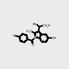 CCC(C)C(C(=O)O)c1c(C)n(C(=O)c2ccc(Cl)cc2)c2ccc(O)cc12